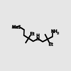 CCC(C)(CN)CNCC(C)(CC)CCSC